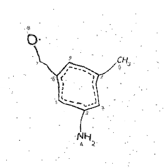 Cc1cc(N)cc(C[O])c1